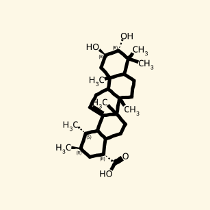 C[C@@H]1C[C@@H](C(=O)O)C2CCC3(C)C(=CCC4C5(C)C[C@@H](O)[C@H](O)C(C)(C)C5CCC43C)C2[C@H]1C